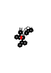 CC1(C)c2ccccc2-c2ccc(N(c3ccc(-c4cc5ccccc5c5ccccc45)cc3)c3ccccc3-c3cccc4ccccc34)cc21